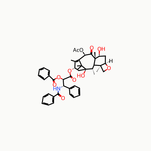 CC(=O)O[C@H]1C(=O)[C@@]2(C)C([C@H](C)[C@]3(O)C[C@H](OC(=O)[C@H](OC(=O)c4ccccc4)[C@@H](NC(=O)c4ccccc4)c4ccccc4)C(C)=C1C3(C)C)[C@]1(C)CO[C@@H]1C[C@@H]2O